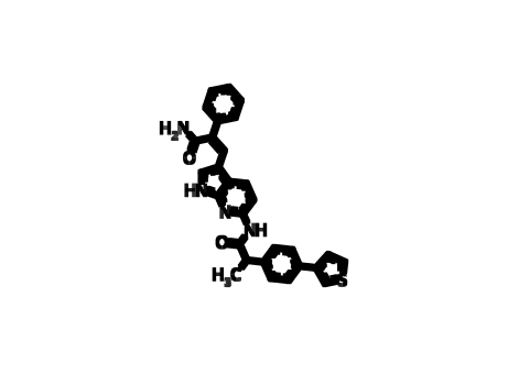 CC(C(=O)Nc1ccc2c(/C=C(\C(N)=O)c3ccccc3)c[nH]c2n1)c1ccc(-c2ccsc2)cc1